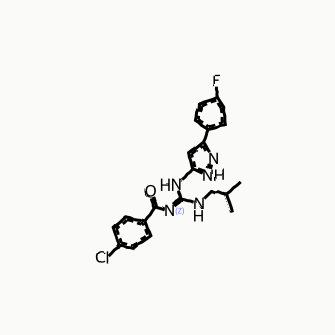 CC(C)CN/C(=N/C(=O)c1ccc(Cl)cc1)Nc1cc(-c2ccc(F)cc2)n[nH]1